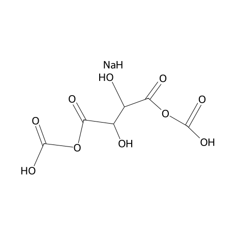 O=C(O)OC(=O)C(O)C(O)C(=O)OC(=O)O.[NaH]